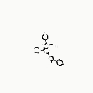 CCn1c(-c2ccncc2)nc2c(N3CCOCC3)nc(-n3cc(-c4ccccc4)c(OC)n3)nc21